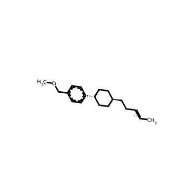 C/C=C/CC[C@H]1CC[C@H](c2ccc(COC)cc2)CC1